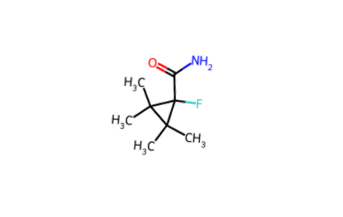 CC1(C)C(C)(C)C1(F)C(N)=O